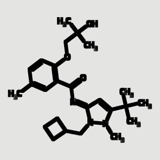 Cc1ccc(OCC(C)(C)O)c(C(=O)N=c2cc(C(C)(C)C)n(C)n2CC2CCC2)c1